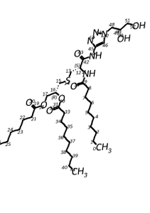 CCCCCCCCCC(=O)N[C@H](CSC[C@@H](COC(=O)CCCCCCCCC)OC(=O)CCCCCCCCC)C(=O)Nc1cn(C[C@@H](O)CO)nn1